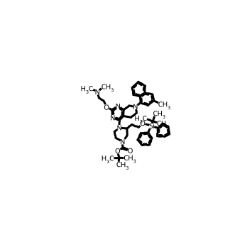 Cc1cc(N2CCc3c(nc(OCCN(C)C)nc3N3CCN(C(=O)OC(C)(C)C)CC3CCO[Si](c3ccccc3)(c3ccccc3)C(C)(C)C)C2)c2ccccc2c1